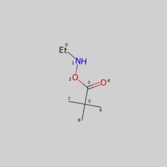 CCNOC(=O)C(C)(C)C